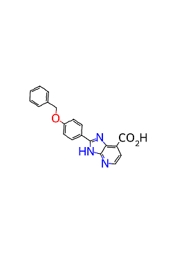 O=C(O)c1ccnc2[nH]c(-c3ccc(OCc4ccccc4)cc3)nc12